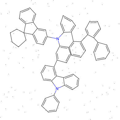 c1ccc(-c2ccccc2-c2ccccc2-c2ccccc2N(c2cccc(-c3cccc4c3c3ccccc3n4-c3ccccc3)c2)c2ccc3c(c2)-c2ccccc2C32CCCCC2)cc1